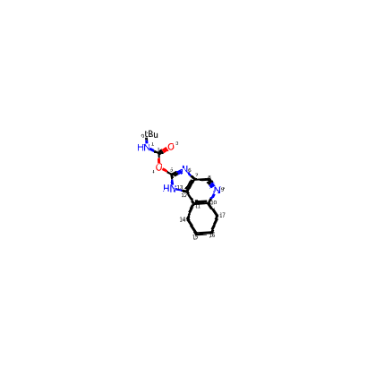 CC(C)(C)NC(=O)Oc1nc2cnc3c(c2[nH]1)CCCC3